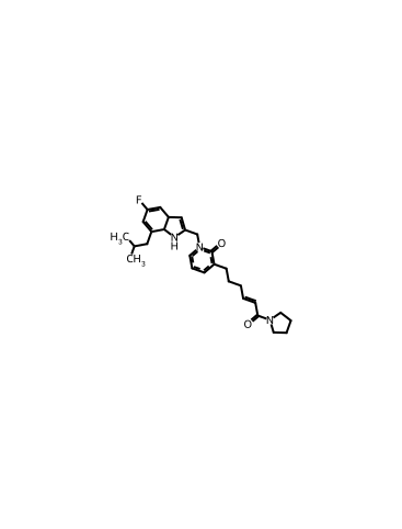 CC(C)CC1=CC(F)=CC2C=C(Cn3cccc(CCC/C=C/C(=O)N4CCCC4)c3=O)NC12